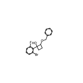 OC1(c2c(F)cccc2Br)CCC1OCc1ccccc1